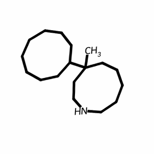 CC1(C2CCCCCCCC2)CCCCCNCC1